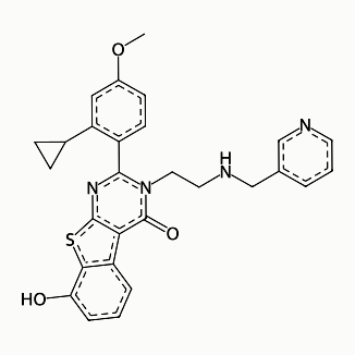 COc1ccc(-c2nc3sc4c(O)cccc4c3c(=O)n2CCNCc2cccnc2)c(C2CC2)c1